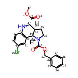 COC(=O)[C@H]1Nc2ccc(Br)cc2[C@H]2[C@@H]1CCN2C(=O)OCc1ccccc1